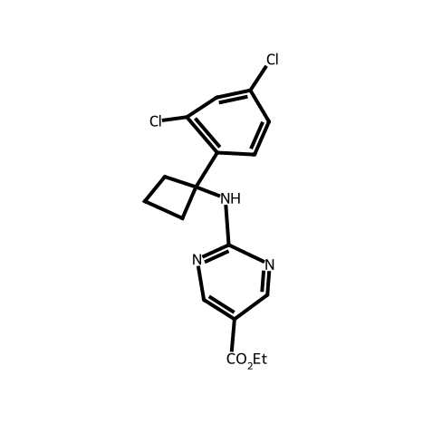 CCOC(=O)c1cnc(NC2(c3ccc(Cl)cc3Cl)CCC2)nc1